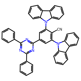 N#Cc1c(-n2c3ccccc3c3ccccc32)cc(-c2nc(-c3ccccc3)nc(-c3ccccc3)n2)cc1-n1c2ccccc2c2ccccc21